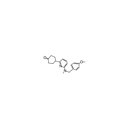 COc1ccc(CN(C)c2cccc(C3CCC(=O)CC3)n2)cc1